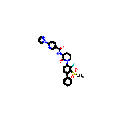 CS(=O)(=O)c1c(-c2ccccc2)ccc(N2CCCC(NC(=O)c3ccc(-n4cccn4)nc3)C2=O)c1F